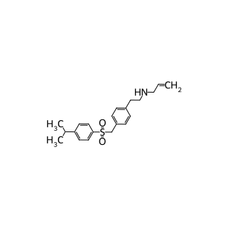 C=CCNCCc1ccc(CS(=O)(=O)c2ccc(C(C)C)cc2)cc1